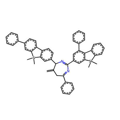 C=C1CC(c2ccccc2)=NC(c2cc(-c3ccccc3)c3c(c2)[Si](C)(C)c2ccccc2-3)=NC1c1ccc2c(c1)[Si](C)(C)c1cc(-c3ccccc3)ccc1-2